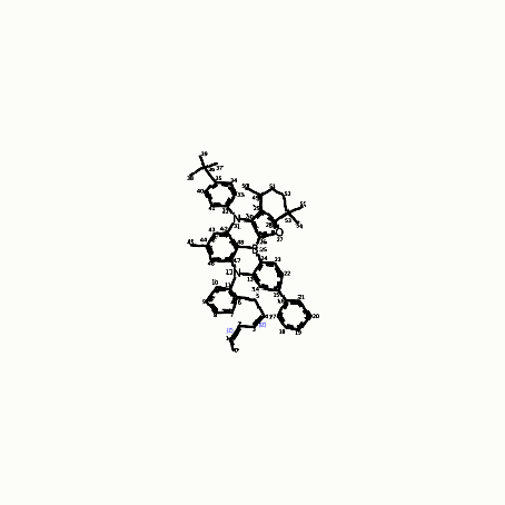 C/C=C\C=C/Cc1ccccc1N1c2cc(-c3ccccc3)ccc2B2c3oc4c(c3N(c3ccc(C(C)(C)C)cc3)c3cc(C)cc1c32)C(C)CCC4(C)C